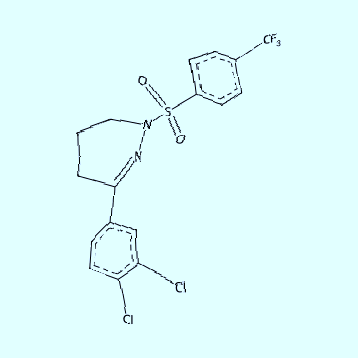 O=S(=O)(c1ccc(C(F)(F)F)cc1)N1CCCC(c2ccc(Cl)c(Cl)c2)=N1